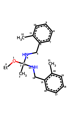 CCO[Si](C)(NCc1ccccc1C)NCc1ccccc1C